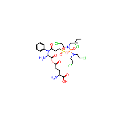 CC[C@@H](Cl)CN(CCCl)P(=O)(OS(=O)(=O)CCC(=O)N(c1ccccc1)C(N)C(=O)OC(=O)CCC(N)C(=O)O)N(CCCl)CCCl